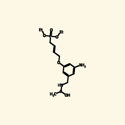 CCOP(=O)(C/C=C/COc1cc(N)cc(CNB(C)O)c1)OCC